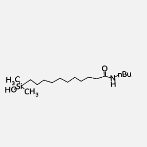 CCCCNC(=O)CCCCCCCCCC[Si](C)(C)O